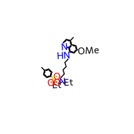 CCN(CC)C(CCCCCNc1cc(OC)cc2c(C)ccnc12)OS(=O)(=O)c1ccc(C)cc1